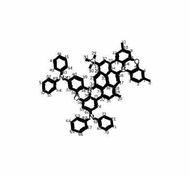 Cc1ccc2c(c1)Oc1cc(C)cc3c1B2c1cc2c(C)cc4c5c(cc6c([Si](C)(C)C)cc-3c1c6c25)B1c2ccc(N(c3ccccc3)c3ccccc3)cc2Oc2cc(N(c3ccccc3)c3ccccc3)cc-4c21